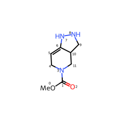 COC(=O)N1CC=C2NNCC2C1